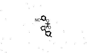 Cc1ccc(C2CCCN2C(=O)C(C)(C)Oc2cccc(C#N)c2)cc1